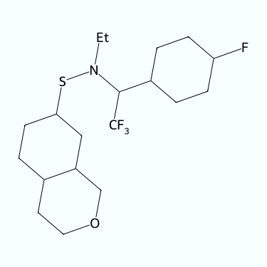 CCN(SC1CCC2CCOCC2C1)C(C1CCC(F)CC1)C(F)(F)F